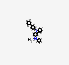 CN(c1ccccc1)c1ccc2c(c1)c1ccccc1n2-c1ccc(-c2ccccc2)cc1